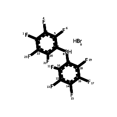 Br.Fc1c(F)c(F)c(Bc2c(F)c(F)c(F)c(F)c2F)c(F)c1F